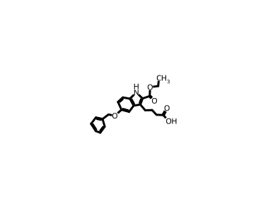 CCOC(=O)c1[nH]c2ccc(OCc3ccccc3)cc2c1CCCC(=O)O